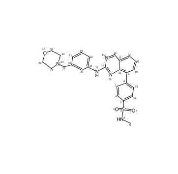 CNS(=O)(=O)c1ccc(-c2cccc3cnc(Nc4cccc(CN5CCOCC5)c4)nc23)cc1